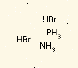 Br.Br.N.P